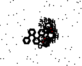 [2H]C1C([2H])([2H])C([2H])([2H])C([2H])([2H])C([2H])([2H])C1([2H])c1ccc(-c2c(-c3ccccc3-c3ccccc3)ccc3oc4ccccc4c23)c(-c2ccnnn2)c1C1([2H])C([2H])C([2H])([2H])C([2H])([2H])C([2H])([2H])C1([2H])[2H]